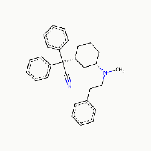 CN(CCc1ccccc1)[C@H]1CCC[C@@H](C(C#N)(c2ccccc2)c2ccccc2)C1